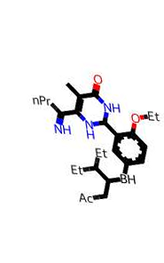 CCCC(=N)C1=C(C)C(=O)NC(c2cc(BC(CC(C)=O)C(CC)CC)ccc2OCC)N1